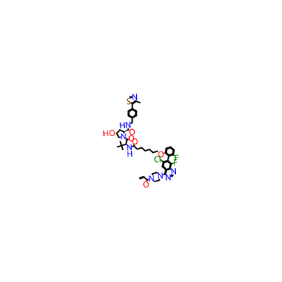 C=CC(=O)N1CCN(c2ncnc3c(F)c(-c4c(F)cccc4OCCCCCCC(=O)N[C@H](C(=O)N4C[C@H](O)C[C@H]4C(=O)NCc4ccc(-c5scnc5C)cc4)C(C)(C)C)c(Cl)cc23)CC1